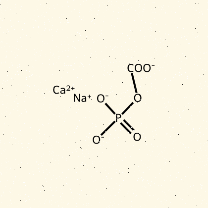 O=C([O-])OP(=O)([O-])[O-].[Ca+2].[Na+]